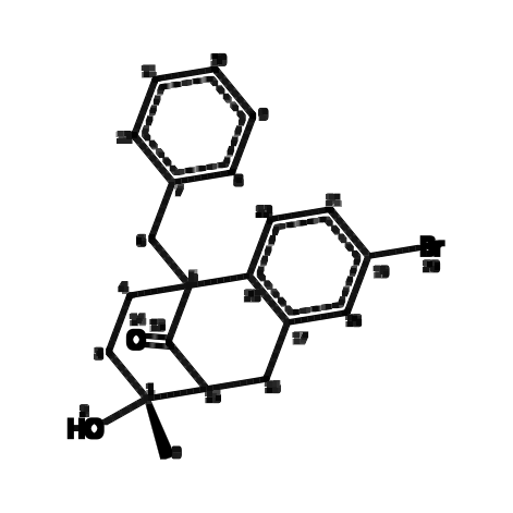 C[C@@]1(O)CCC2(Cc3ccccc3)C(=O)C1Cc1cc(Br)ccc12